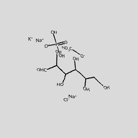 O=C([O-])O.O=CC(O)C(O)C(O)C(O)CO.O=P([O-])(O)O.[Cl-].[K+].[Na+].[Na+]